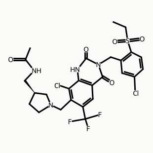 CCS(=O)(=O)c1ccc(Cl)cc1Cn1c(=O)[nH]c2c(Cl)c(CN3CC[C@@H](CNC(C)=O)C3)c(C(F)(F)F)cc2c1=O